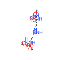 CC(C)(C)OC(=O)/N=C(/NCCCCCCN1CCN(CCCCCCN/C(=N\C(=O)OC(C)(C)C)NC(=O)OC(C)(C)C)C1=N)NC(=O)OC(C)(C)C